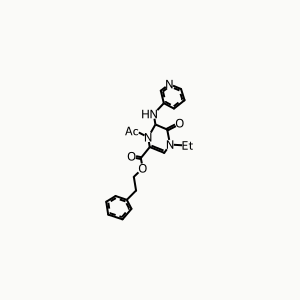 CCN1C=C(C(=O)OCCc2ccccc2)N(C(C)=O)C(Nc2cccnc2)C1=O